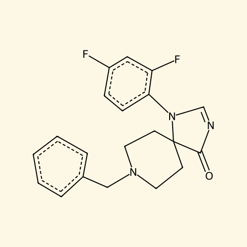 O=C1N=CN(c2ccc(F)cc2F)C12CCN(Cc1ccccc1)CC2